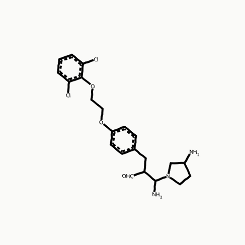 NC1CCN(C(N)C(C=O)Cc2ccc(OCCOc3c(Cl)cccc3Cl)cc2)C1